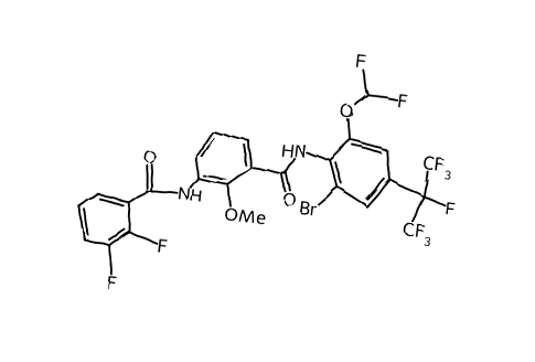 COc1c(NC(=O)c2cccc(F)c2F)cccc1C(=O)Nc1c(Br)cc(C(F)(C(F)(F)F)C(F)(F)F)cc1OC(F)F